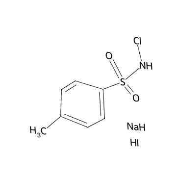 Cc1ccc(S(=O)(=O)NCl)cc1.I.[NaH]